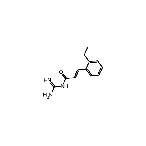 CCc1ccccc1C=CC(=O)NC(=N)N